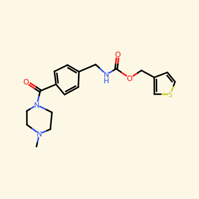 CN1CCN(C(=O)c2ccc(CNC(=O)OCc3ccsc3)cc2)CC1